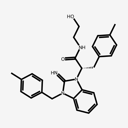 Cc1ccc(C[C@@H](C(=O)NCCO)n2c(=N)n(Cc3ccc(C)cc3)c3ccccc32)cc1